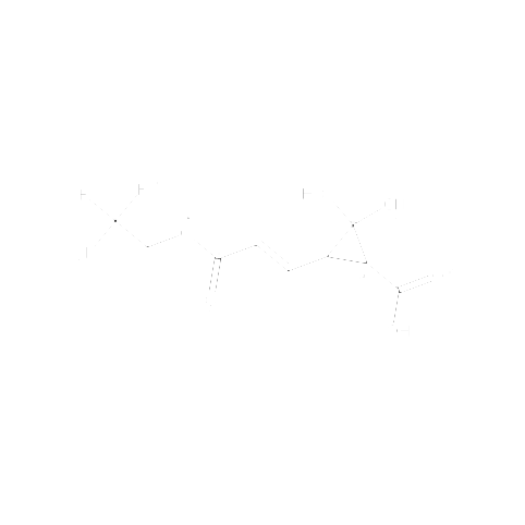 CC1(C)C(C=CC(=O)OCC(F)(F)F)C1C(=O)O